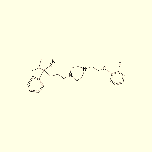 CC(C)C(C#N)(CCCN1CCN(CCOc2ccccc2F)CC1)c1ccccc1